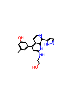 Cc1cc(O)cc(-c2cc(NCCO)nc3c(-c4ccn[nH]4)nccc23)c1